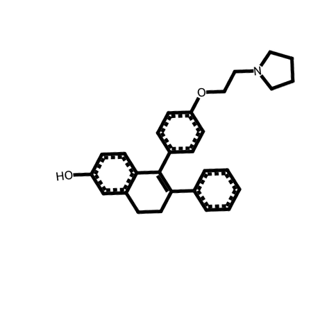 Oc1ccc2c(c1)CCC(c1ccccc1)=C2c1ccc(OCCN2CCCC2)cc1